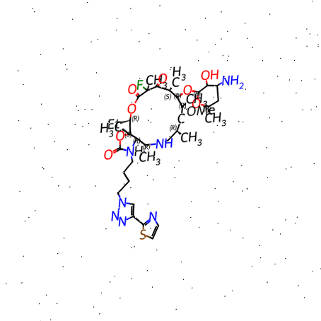 CC[C@H]1OC(=O)C(C)(F)C(=O)[C@@H](C)[C@@H](O[C@@H]2O[C@H](C)CC(N)C2O)[C@](C)(OC)C[C@@H](C)CN[C@H](C)[C@H]2N(CCCCn3cc(-c4nccs4)nn3)C(=O)O[C@]12C